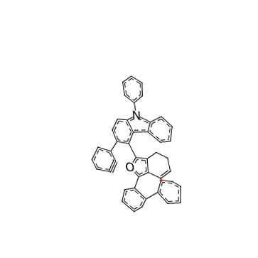 c1cccc(-c2ccc3c(c2-c2oc(-c4ccccc4-c4ccccc4)c4c2CCC=C4)c2ccccc2n3-c2ccccc2)c#1